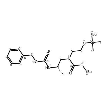 C[C@@H](CN(CCO[Si](C)(C)C(C)(C)C)C(=O)OC(C)(C)C)NC(=O)OCc1ccccc1